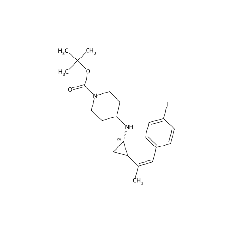 CC(=Cc1ccc(I)cc1)C1C[C@@H]1NC1CCN(C(=O)OC(C)(C)C)CC1